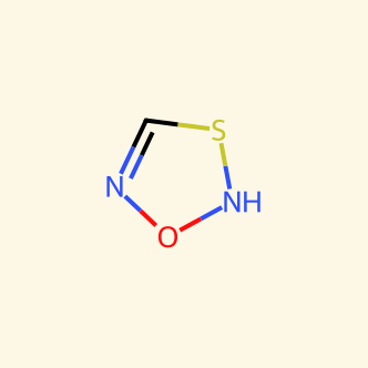 C1=NONS1